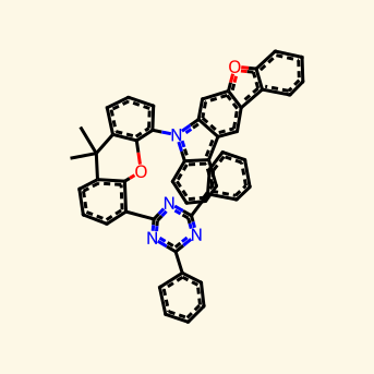 CC1(C)c2cccc(-c3nc(-c4ccccc4)nc(-c4ccccc4)n3)c2Oc2c(-n3c4ccccc4c4cc5c(cc43)oc3ccccc35)cccc21